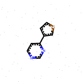 [c]1nccc(-c2ccsc2)n1